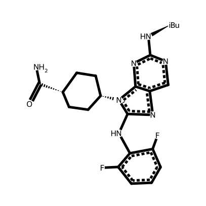 CC[C@H](C)Nc1ncc2nc(Nc3c(F)cccc3F)n([C@H]3CC[C@@H](C(N)=O)CC3)c2n1